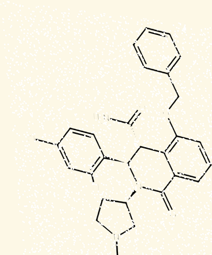 CN1CC[C@@H](N2C(=O)c3cccc(OCc4ccccc4)c3[C@@H](C(N)=O)[C@@H]2c2ccc(Cl)cc2Cl)C1